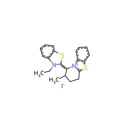 CCN1C(=C2C(C)CCc3sc4ccccc4[n+]32)Sc2ccccc21.[I-]